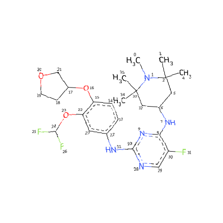 CN1C(C)(C)CC(Nc2nc(Nc3ccc(OC4CCOC4)c(OC(F)F)c3)ncc2F)CC1(C)C